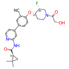 CC1(C)C[C@@H]1C(=O)Nc1cc(-c2ccc(O[C@H]3CCN(C(=O)CO)C[C@H]3F)c(C#N)c2)ccn1